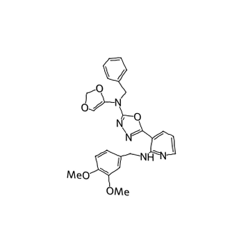 COc1ccc(CNc2ncccc2-c2nnc(N(Cc3ccccc3)C3=COCO3)o2)cc1OC